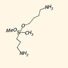 CO[Si](C)(CCCN)OCCCCN